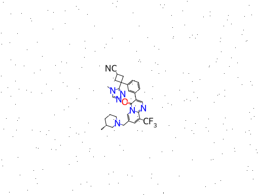 C[C@H]1CCCN(Cc2cc(C(F)(F)F)c3ncc(-c4cccc(C5(c6nncn6C)CC(C#N)C5)c4)c(=O)n3c2)C1